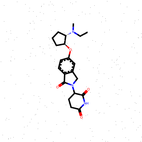 CCN(C)[C@H]1CCC[C@@H]1Oc1ccc2c(c1)CN(C1CCC(=O)NC1=O)C2=O